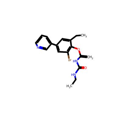 C=C(NC(=O)NCC)Oc1c(Br)cc(-c2cccnc2)cc1CC